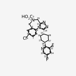 O=C(O)N1Cc2cc(Cl)ccc2-n2c(nnc2[C@H]2CC[C@H](c3ncc(F)cc3F)CC2)C1